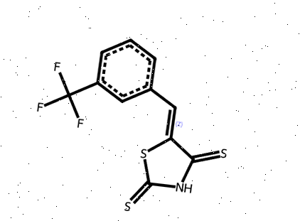 FC(F)(F)c1cccc(/C=C2\SC(=S)NC2=S)c1